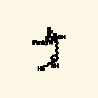 CCCC(C)Oc1nc(N)c2nc(O)n(CCCCCC3CCN(C(=N)CCCS)CC3)c2n1